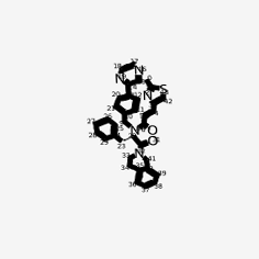 Cc1nc(/C=C/C(=O)N(Cc2ccc(-c3cnccn3)cc2)[C@@H](Cc2ccccc2)C(=O)N2CCc3ccccc3C2)cs1